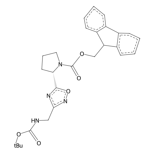 CC(C)(C)OC(=O)NCc1noc([C@@H]2CCCN2C(=O)OCC2c3ccccc3-c3ccccc32)n1